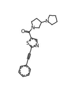 O=C(c1cnc(C#Cc2ccccc2)s1)N1CCC(N2CCCC2)C1